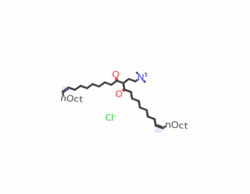 CCCCCCCC/C=C\CCCCCCCC(=O)C(CC[N+](C)(C)C)C(=O)CCCCCCC/C=C\CCCCCCCC.[Cl-]